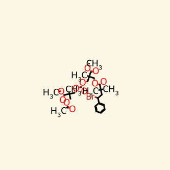 COC(=O)C(C)(COC(C)=O)COC(=O)OCC(C)(COC(=O)C(C)(C)CC(Br)c1ccccc1)C(=O)OC